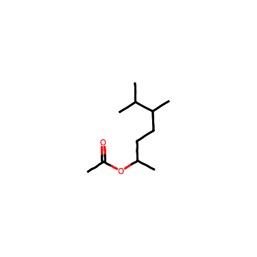 CC(=O)OC(C)CCC(C)C(C)C